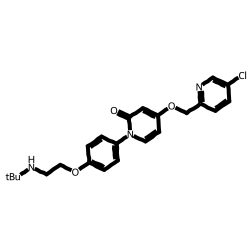 CC(C)(C)NCCOc1ccc(-n2ccc(OCc3ccc(Cl)cn3)cc2=O)cc1